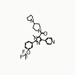 Cn1c(-c2cccc(OC(F)(F)F)c2)nc(-c2ccncc2)c1C(=O)N1CCC(N2CCCC2)CC1